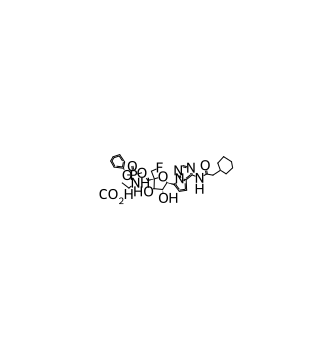 CC(N[P@](=O)(OC[C@@]1(CF)O[C@@H](c2ccc3c(NC(=O)CC4CCCCC4)ncnn23)[C@H](O)[C@@H]1O)Oc1ccccc1)C(=O)O